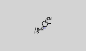 CC1C/C(=N/NSI)CCB1C#N